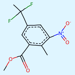 COC(=O)c1cc(C(C)(F)F)cc([N+](=O)[O-])c1C